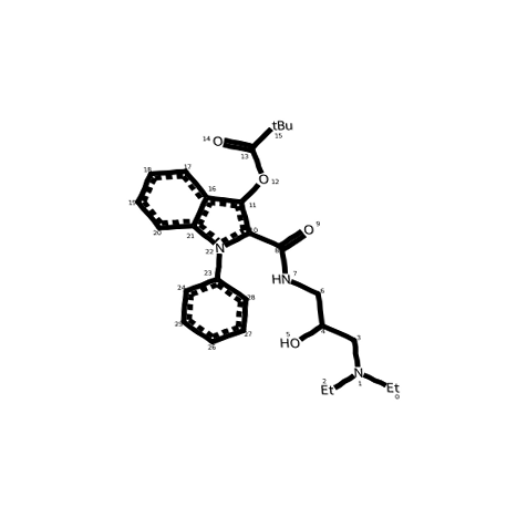 CCN(CC)CC(O)CNC(=O)c1c(OC(=O)C(C)(C)C)c2ccccc2n1-c1ccccc1